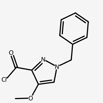 COc1cn(Cc2ccccc2)nc1C(=O)Cl